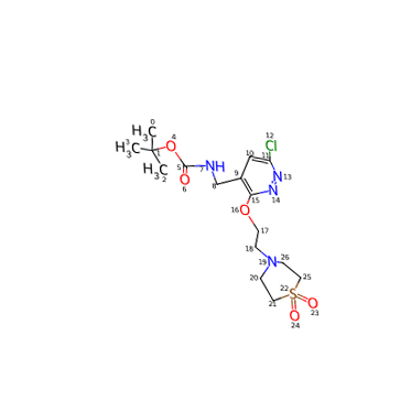 CC(C)(C)OC(=O)NCc1cc(Cl)nnc1OCCN1CCS(=O)(=O)CC1